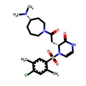 Cc1cc(S(=O)(=O)N2C=CNC(=O)[C@H]2CC(=O)N2CCC[C@H](N(C)C)CC2)c(C)cc1Cl